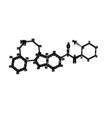 O=C(N[C@@H]1CCCC[C@H]1F)c1ccc2cc3n(c2c1)CCNCc1ccccc1-3